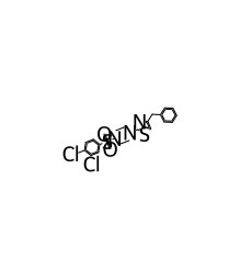 O=S(=O)(c1ccc(Cl)c(Cl)c1)N1CCN(c2nc(Cc3ccccc3)cs2)CC1